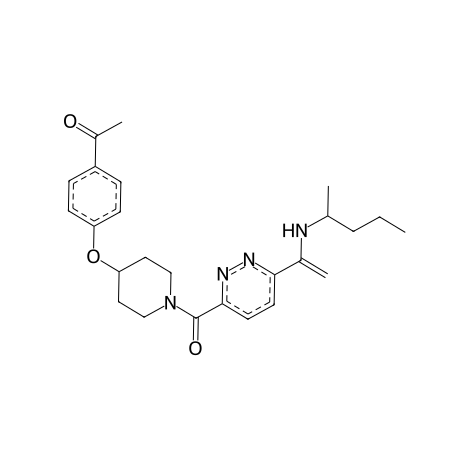 C=C(NC(C)CCC)c1ccc(C(=O)N2CCC(Oc3ccc(C(C)=O)cc3)CC2)nn1